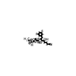 CCS(=O)(=O)Nc1nc(C(=O)NC(Cc2cc(F)cc(F)c2)C(O)C(O)CCCC#N)co1